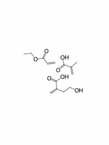 C=C(C)C(=O)O.C=C(CCO)C(=O)O.C=CC(=O)OCC